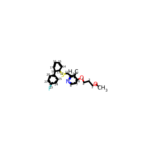 COCCCOc1ccnc(CSC2C=CC=CC2c2ccc(F)cc2)c1C